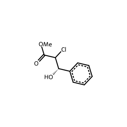 COC(=O)C(Cl)[C@@H](O)c1ccccc1